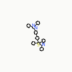 c1ccc(-c2cc(-c3ccc(-c4ccc(-c5c(-c6ccccc6)sc6c(-c7ccccc7)nc7ccccc7c56)cc4)cc3)nc(-c3ccccc3)n2)cc1